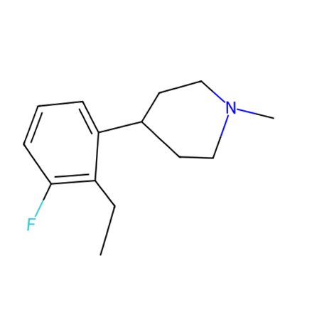 CCc1c(F)cccc1C1CCN(C)CC1